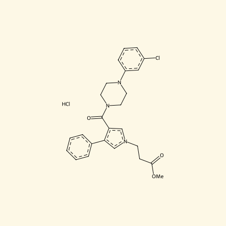 COC(=O)CCn1cc(C(=O)N2CCN(c3cccc(Cl)c3)CC2)c(-c2ccccc2)c1.Cl